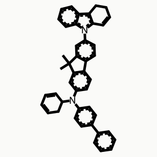 CC1(C)c2cc(N(c3ccc(-c4ccccc4)cc3)C3C=CC=CC3)ccc2-c2ccc(-n3c4c(c5ccccc53)CCC=C4)cc21